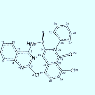 C[C@H](Nc1nc(Cl)nc2ccccc12)c1cc2cccc(Cl)c2c(=O)n1-c1ccccc1